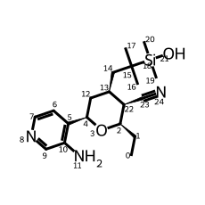 CC[C@H]1O[C@@H](c2ccncc2N)C[C@@H](CC(C)(C)[Si](C)(C)O)[C@H]1C#N